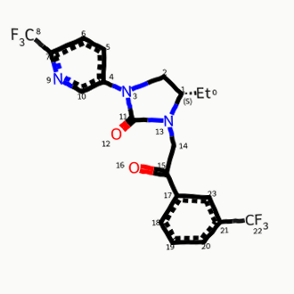 CC[C@H]1CN(c2ccc(C(F)(F)F)nc2)C(=O)N1CC(=O)c1cccc(C(F)(F)F)c1